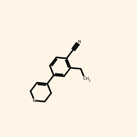 CCc1cc(C2=CC[N]CC2)ccc1C#N